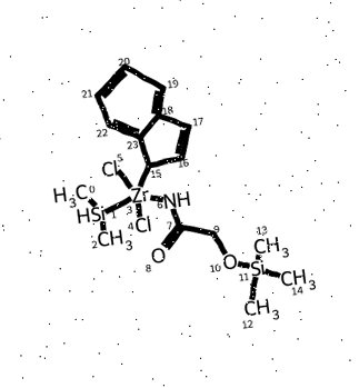 C[SiH](C)[Zr]([Cl])([Cl])([NH]C(=O)CO[Si](C)(C)C)[CH]1C=Cc2ccccc21